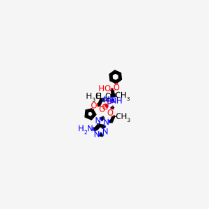 C[C@H](Cn1cnc2c(N)ncnc21)OCP(=O)(N[C@H](C)C(=O)OC1CCCC1)NC(C)(C)C(O)OC1CCCCC1